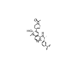 CC(=O)N1CC=C(C2=Cc3c(cnnc3N[C@H](C)c3cccc(C(F)F)c3)N(C)C2O)CC1